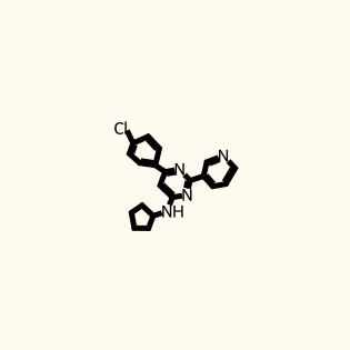 Clc1ccc(-c2cc(NC3CCCC3)nc(-c3cccnc3)n2)cc1